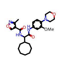 COc1cc(NC(=O)C(NC(=O)c2conc2C)C2CCCCCCC2)ccc1N1CCOCC1